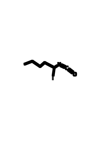 CCCCC(I)N=C=O